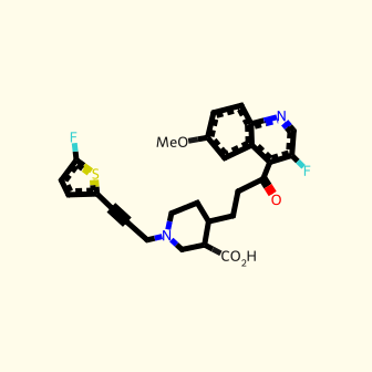 COc1ccc2ncc(F)c(C(=O)CCC3CCN(CC#Cc4ccc(F)s4)CC3C(=O)O)c2c1